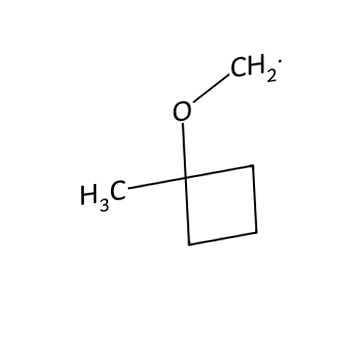 [CH2]OC1(C)CCC1